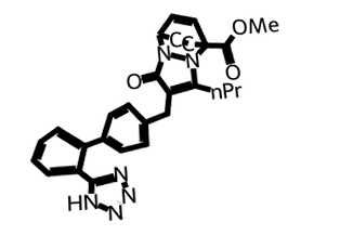 CCCc1c(Cc2ccc(-c3ccccc3-c3nnn[nH]3)cc2)c(=O)n2n1C1(C(=O)OC)C=CC2CC1